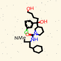 CNCC(CC1CCCCC1)NC(=O)N1CCCC(C(O)(CCCCO)c2cccc(Cl)c2)C1